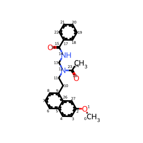 COc1ccc2cccc(CCN(CNC(=O)c3ccccc3)C(C)=O)c2c1